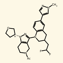 CC(=O)N1CCc2c(c(N3CC(CC(F)F)Cc4cc(-c5cnn(C)c5)ccc43)nn2[C@@H]2CCOC2)C1